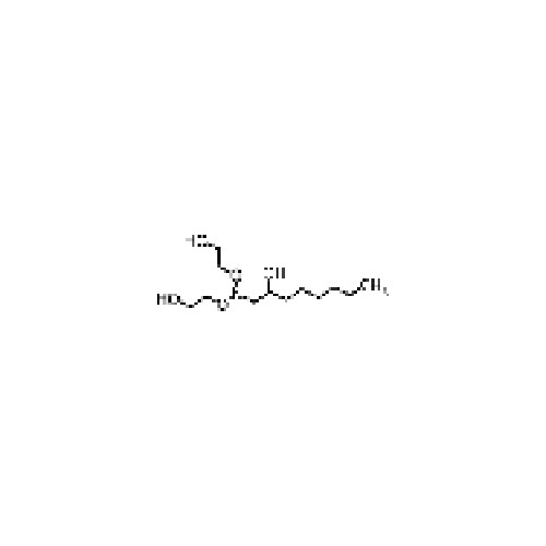 CCCCCCC(O)CN(OCCO)OCCO